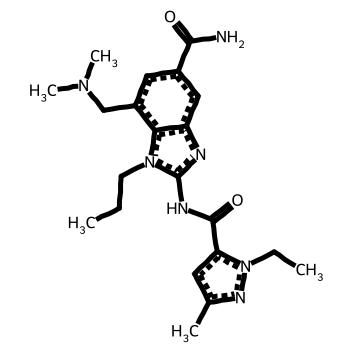 CCCn1c(NC(=O)c2cc(C)nn2CC)nc2cc(C(N)=O)cc(CN(C)C)c21